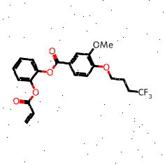 C=CC(=O)Oc1ccccc1OC(=O)c1ccc(OCCCC(F)(F)F)c(OC)c1